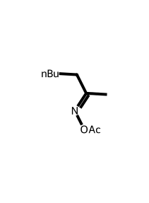 CCCCCC(C)=NOC(C)=O